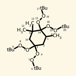 CC1CC(OOC(C)(C)C)(OOC(C)(C)C)CC(C)(C)C1(OOC(C)(C)C)OOC(C)(C)C